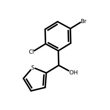 OC(c1cccs1)c1cc(Br)ccc1Cl